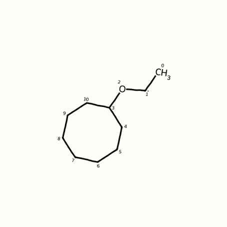 C[CH]OC1CCCCCCC1